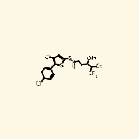 CCC(C(O)CCNSC1=CC(Cl)C(C2=CCC(Cl)C=C2)S1)C(F)(F)F